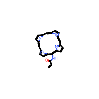 C=CC(=O)Nc1c2nc(cc3ccc(cc4nc(cc5ccc1[nH]5)C=C4)[nH]3)C=C2